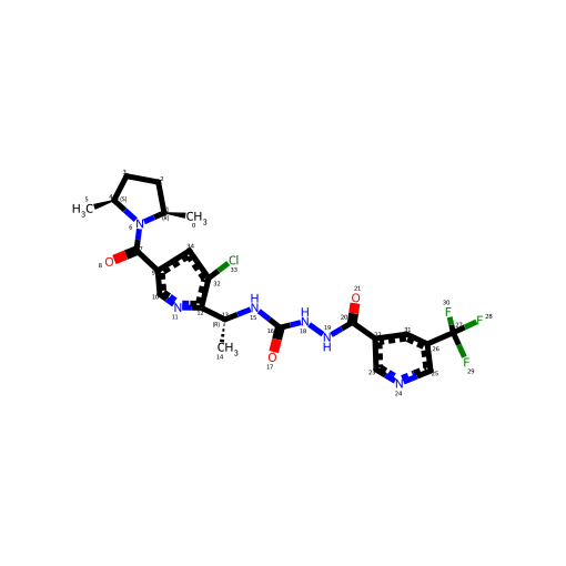 C[C@@H]1CC[C@H](C)N1C(=O)c1cnc([C@@H](C)NC(=O)NNC(=O)c2cncc(C(F)(F)F)c2)c(Cl)c1